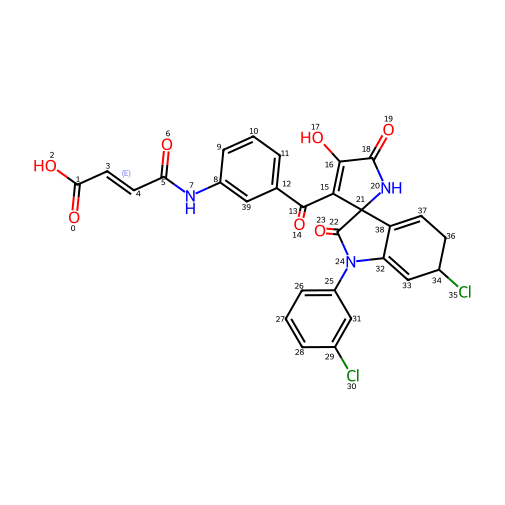 O=C(O)/C=C/C(=O)Nc1cccc(C(=O)C2=C(O)C(=O)NC23C(=O)N(c2cccc(Cl)c2)C2=CC(Cl)CC=C23)c1